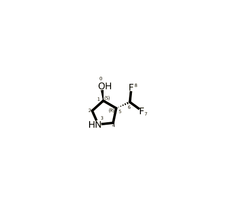 O[C@@H]1CNC[C@H]1C(F)F